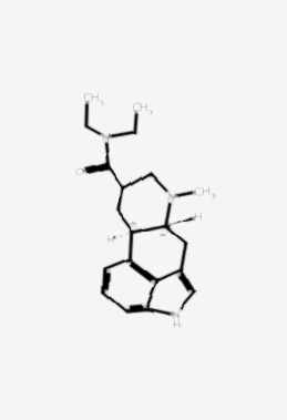 CCN(CC)C(=O)C1C[C@@H]2c3cccc4[nH]cc(c34)C[C@H]2N(C)C1